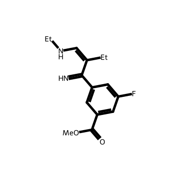 CCN/C=C(/CC)C(=N)c1cc(F)cc(C(=O)OC)c1